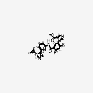 COC(=O)c1cncn1-c1cc(C(=O)Nc2cccc(-c3nncn3C3CC3)n2)c(F)cc1F